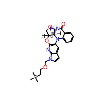 C[Si](C)(C)CCOCn1ccc2cc3c(nc21)O[C@@H]1COC[C@H]1N3c1ccccc1C(N)=O